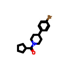 O=C(C1CCCC1)N1CCC(c2ccc(Br)cc2)CC1